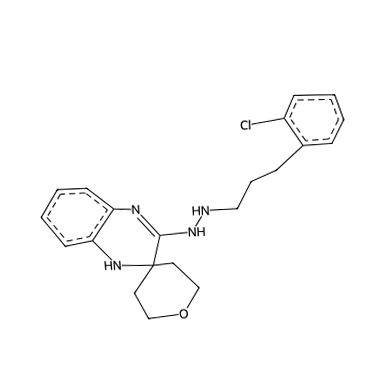 Clc1ccccc1CCCNNC1=Nc2ccccc2NC12CCOCC2